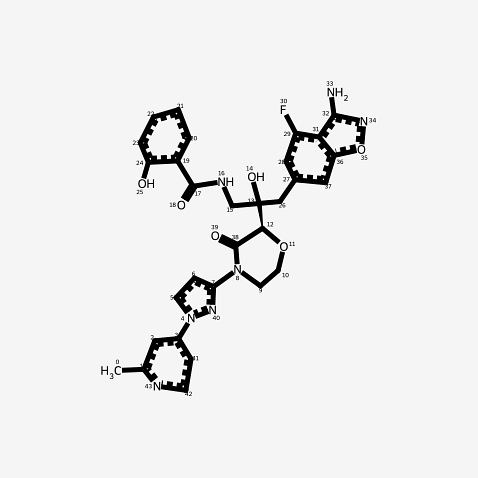 Cc1cc(-n2ccc(N3CCO[C@H](C(O)(CNC(=O)c4ccccc4O)Cc4cc(F)c5c(N)noc5c4)C3=O)n2)ccn1